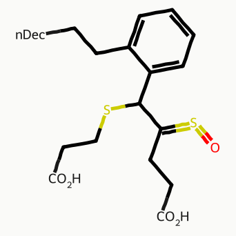 CCCCCCCCCCCCc1ccccc1C(SCCC(=O)O)C(CCC(=O)O)=S=O